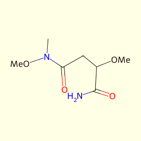 COC(CC(=O)N(C)OC)C(N)=O